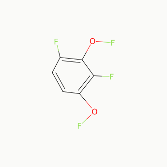 FOc1ccc(F)c(OF)c1F